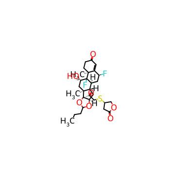 CCCC1O[C@@H]2C[C@H]3[C@@H]4C[C@H](F)C5=CC(=O)CC[C@]5(C)[C@@]4(F)[C@@H](O)C[C@]3(C)[C@]2(C(=O)CS[C@H]2COC(=O)C2)O1